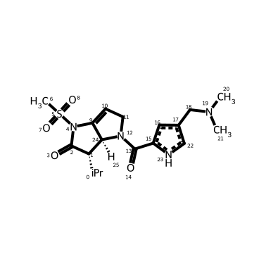 CC(C)[C@@H]1C(=O)N(S(C)(=O)=O)C2=CCN(C(=O)c3cc(CN(C)C)c[nH]3)[C@H]21